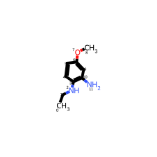 CCNc1ccc(OC)cc1N